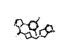 O=C(N1CC(CN2Cc3cn[nH]c3C2)C1)N1N=CC[C@H]1c1cc(F)cc(F)c1